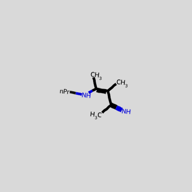 CCCN/C(C)=C(/C)C(C)=N